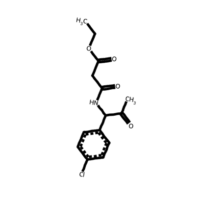 CCOC(=O)CC(=O)NC(C(C)=O)c1ccc(Cl)cc1